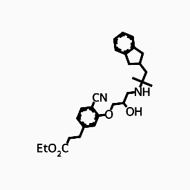 CCOC(=O)CCc1ccc(C#N)c(OCC(O)CNC(C)(C)CC2Cc3ccccc3C2)c1